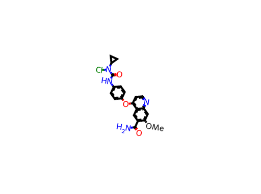 COc1cc2nccc(Oc3ccc(NC(=O)N(Cl)C4CC4)cc3)c2cc1C(N)=O